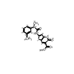 COC(=O)c1cc2sc(NC(=O)N(C)c3cccc(C)c3)cc2oc1=O